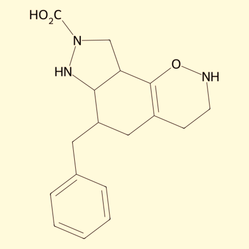 O=C(O)N1CC2C3=C(CCNO3)CC(Cc3ccccc3)C2N1